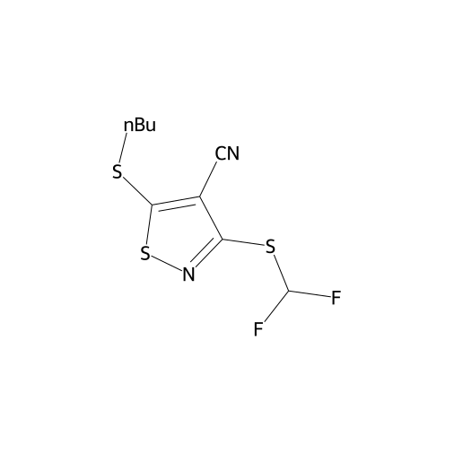 CCCCSc1snc(SC(F)F)c1C#N